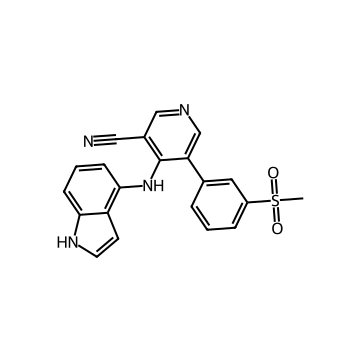 CS(=O)(=O)c1cccc(-c2cncc(C#N)c2Nc2cccc3[nH]ccc23)c1